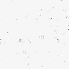 CCN1C(=O)N(c2nc(OC(C)C)c(C(=O)OC(C)C)cc2F)NC1CO